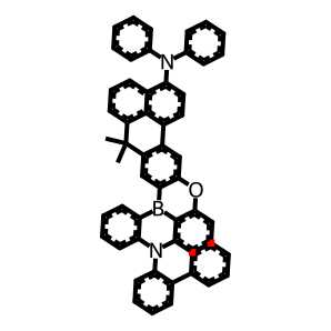 CC1(C)c2cc3c(cc2-c2ccc(N(c4ccccc4)c4ccccc4)c4cccc1c24)Oc1cccc2c1B3c1ccccc1N2c1ccccc1-c1ccccc1